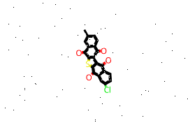 Cc1ccc2c(=O)c3c(sc4c(=O)c5cc(Cl)ccc5c(=O)c43)c(=O)c2c1